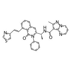 Cc1nn2cccnc2c1C(=O)N[C@@H](C)c1cc2cccc(/C=C/c3cscn3)c2c(=O)n1-c1ccccc1